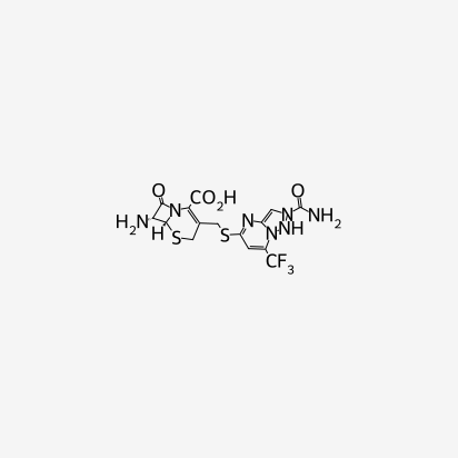 NC(=O)N1C=C2N=C(SCC3=C(C(=O)O)N4C(=O)[C@@H](N)[C@H]4SC3)C=C(C(F)(F)F)N2N1